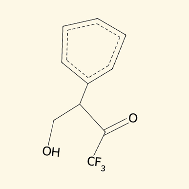 O=C(C(CO)c1ccccc1)C(F)(F)F